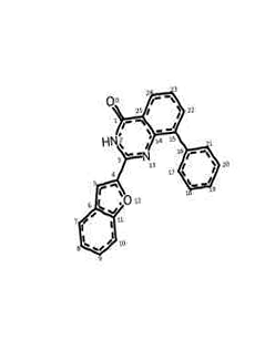 O=c1[nH]c(-c2cc3ccccc3o2)nc2c(-c3ccccc3)cccc12